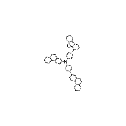 c1ccc2c(c1)ccc1cc(-c3ccc(N(c4ccc(-c5cccc6c5oc5ccccc56)cc4)c4ccc5c(ccc6ccccc65)c4)cc3)ccc12